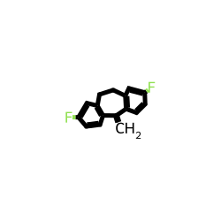 C=C1c2ccc(F)cc2CCc2cc(F)ccc21